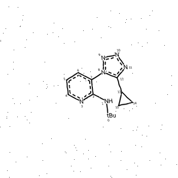 CC(C)(C)Nc1ncccc1-n1nnnc1C1CC1